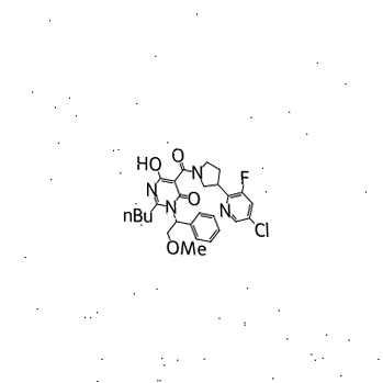 CCCCc1nc(O)c(C(=O)N2CCC(c3ncc(Cl)cc3F)C2)c(=O)n1C(COC)c1ccccc1